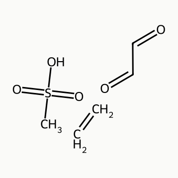 C=C.CS(=O)(=O)O.O=CC=O